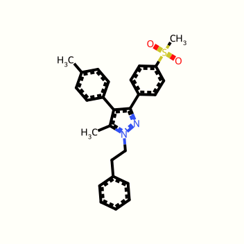 Cc1ccc(-c2c(-c3ccc(S(C)(=O)=O)cc3)nn(CCc3ccccc3)c2C)cc1